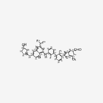 Cc1c(Nc2nc(C(F)F)nc3cc(CN4CCC(O)C4)cnc23)cccc1-c1cccc(-c2nc3cc(C=O)cc(C#N)c3o2)c1C